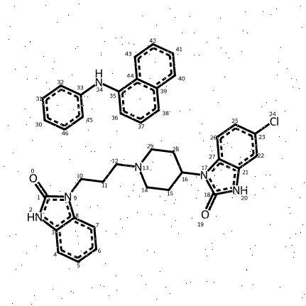 O=c1[nH]c2ccccc2n1CCCN1CCC(n2c(=O)[nH]c3cc(Cl)ccc32)CC1.c1ccc(Nc2cccc3ccccc23)cc1